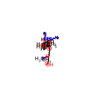 C[C@H](CCC(=O)NCCCCN1CCCC1)C1CC2[C@H](CCC(=O)NCCCCN3CCCC3)C3CC[C@H]4[C@@H]5[C@@H](O)C[C@@H]6CCCC[C@]6(C)[C@H]5CC([C@H]5C[C@@H]6C[C@H](OC(=O)CCCCCCCC(CCCCCCCC(=O)O)OC(=O)CCCN(C)C)CC[C@]6(C)[C@H]6CC[C@@]1(C)[C@@H]2[C@H]56)[C@]34C